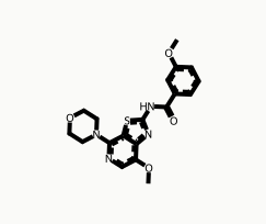 COc1cccc(C(=O)Nc2nc3c(OC)cnc(N4CCOCC4)c3s2)c1